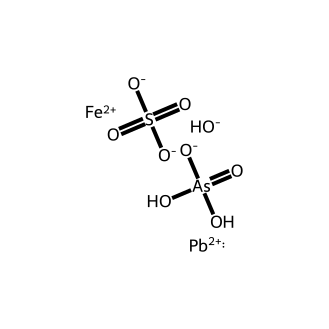 O=S(=O)([O-])[O-].O=[As]([O-])(O)O.[Fe+2].[OH-].[Pb+2]